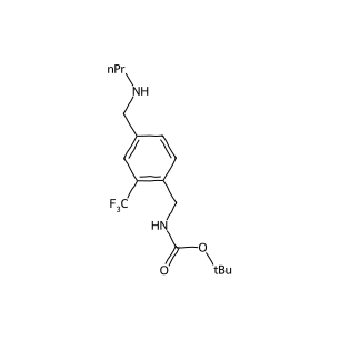 CCCNCc1ccc(CNC(=O)OC(C)(C)C)c(C(F)(F)F)c1